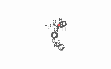 CC(=O)N[C@H]1C[C@H]2CC[C@@H](C1)N2CCOc1ccc(Oc2nc3nccnc3s2)cc1